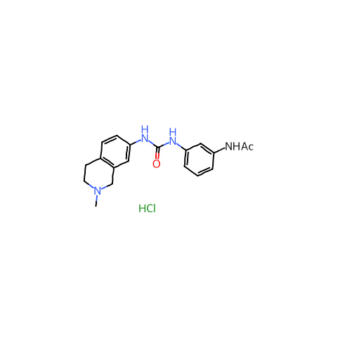 CC(=O)Nc1cccc(NC(=O)Nc2ccc3c(c2)CN(C)CC3)c1.Cl